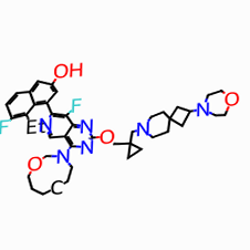 CCc1c(F)ccc2cc(O)cc(-c3ncc4c(N5CCCCCCOC5)nc(OCC5(CN6CCC7(CC6)CC(N6CCOCC6)C7)CC5)nc4c3F)c12